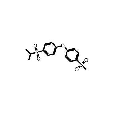 CC(C)S(=O)(=O)c1ccc(Oc2ccc(S(C)(=O)=O)cc2)cc1